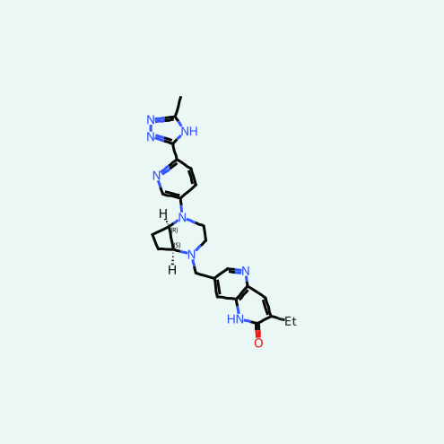 CCc1cc2ncc(CN3CCN(c4ccc(-c5nnc(C)[nH]5)nc4)[C@@H]4CC[C@@H]43)cc2[nH]c1=O